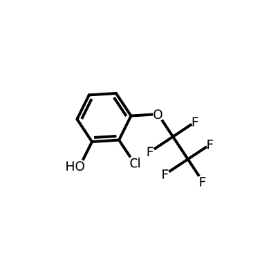 Oc1cccc(OC(F)(F)C(F)(F)F)c1Cl